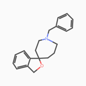 c1ccc(CN2CCCC3(CC2)OCc2ccccc23)cc1